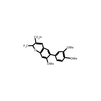 COc1ccc(-c2cc3c(cc2OC)OC(C(F)(F)F)C(C(=O)O)=C3)cc1OC